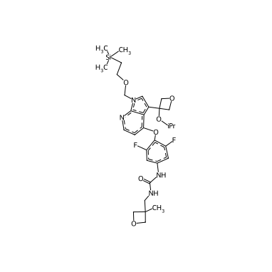 CC(C)OC1(c2cn(COCC[Si](C)(C)C)c3nccc(Oc4c(F)cc(NC(=O)NCC5(C)COC5)cc4F)c23)COC1